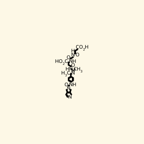 C/C(=N\N(C)NC(=O)C[C@@H](NC(=O)CNC(=O)CCC(=O)O)C(=O)O)c1ccc(NC(=O)N2Cc3ccncc3C2)cc1